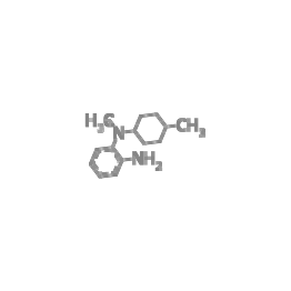 CC1CCC(N(C)c2ccccc2N)CC1